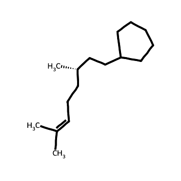 CC(C)=CCC[C@H](C)CCC1CCCCC1